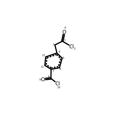 O=C(Cl)Cc1ccc(C(=O)Cl)cc1